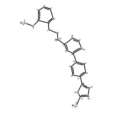 COc1ccccc1CCNc1cc(-c2ccc(-c3nnc(C)o3)cc2)ncn1